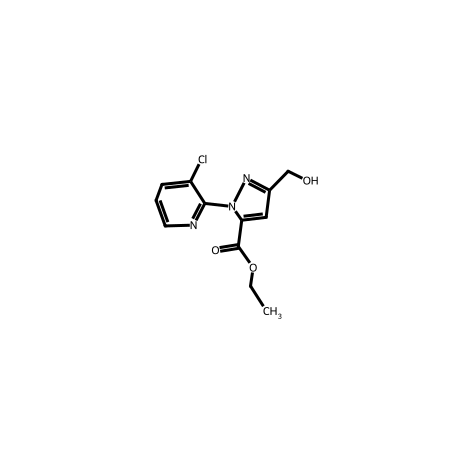 CCOC(=O)c1cc(CO)nn1-c1ncccc1Cl